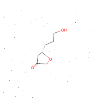 O=C1CO[C@@H](CCCO)C1